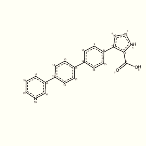 O=C(O)c1[nH]nnc1-c1ccc(-c2ccc(-c3cccnc3)cc2)cc1